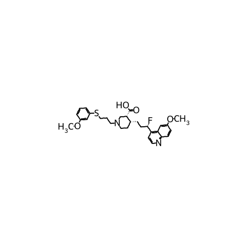 COc1cccc(SCCCN2CC[C@@H](CC[C@H](F)c3ccnc4ccc(OC)cc34)[C@@H](C(=O)O)C2)c1